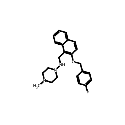 CN1CCN(NCc2c(OCc3ccc(F)cc3)ccc3ccccc23)CC1